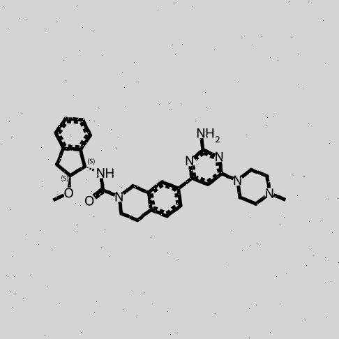 CO[C@H]1Cc2ccccc2[C@@H]1NC(=O)N1CCc2ccc(-c3cc(N4CCN(C)CC4)nc(N)n3)cc2C1